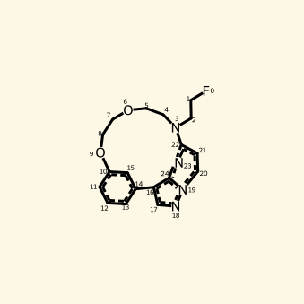 FCCN1CCOCCOc2cccc(c2)-c2cnn3ccc1nc23